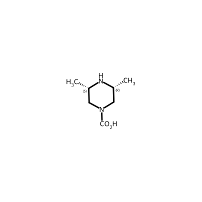 C[C@@H]1CN(C(=O)O)C[C@H](C)N1